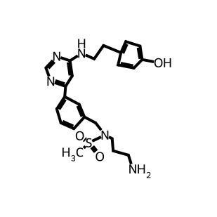 CS(=O)(=O)N(CCCN)Cc1cccc(-c2cc(NCCc3ccc(O)cc3)ncn2)c1